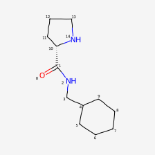 O=C(NCC1CCCCC1)[C@@H]1CCCN1